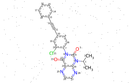 CC(C)n1c(=O)n(-c2ccc(C#Cc3ccccc3)cc2Cl)c(=O)c2nccnc21